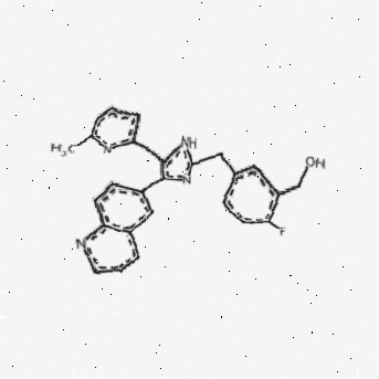 Cc1cccc(-c2[nH]c(Cc3ccc(F)c(CO)c3)nc2-c2ccc3ncccc3c2)n1